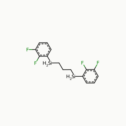 Fc1cccc([SiH2]CCC[SiH2]c2cccc(F)c2F)c1F